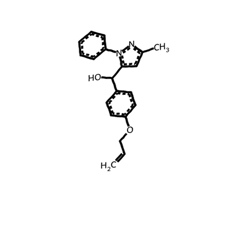 C=CCOc1ccc(C(O)c2cc(C)nn2-c2ccccc2)cc1